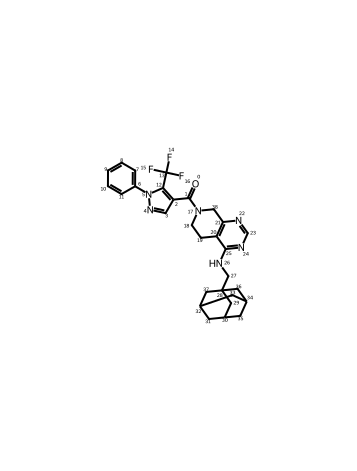 O=C(c1cnn(-c2ccccc2)c1C(F)(F)F)N1CCc2c(ncnc2NCC23CC4CC(CC(C4)C2)C3)C1